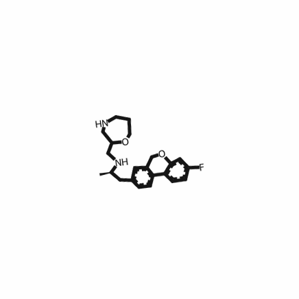 C[C@H](Cc1ccc2c(c1)COc1cc(F)ccc1-2)NCC1CNCCCO1